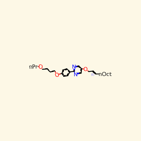 CCCCCCCC/C=C/COc1cnc(-c2ccc(OCCCCOCCC)cc2)nc1